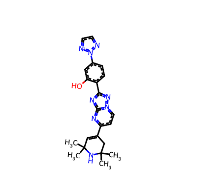 CC1(C)C=C(c2ccn3nc(-c4ccc(-n5nccn5)cc4O)nc3n2)CC(C)(C)N1